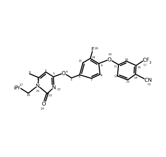 Cc1cc(OCc2ccc(Oc3ccc(C#N)c(C(F)(F)F)c3)c(F)c2)nc(=O)n1CC(C)C